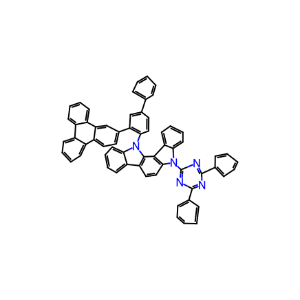 c1ccc(-c2ccc(-n3c4ccccc4c4ccc5c(c6ccccc6n5-c5nc(-c6ccccc6)nc(-c6ccccc6)n5)c43)c(-c3ccc4c5ccccc5c5ccccc5c4c3)c2)cc1